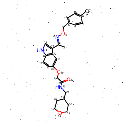 C/C(=N\OCc1ccc(C(F)(F)F)cc1)c1c[nH]c2ccc(OCC(=O)NCC3CCOCC3)cc12